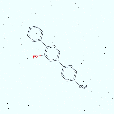 O=C(O)c1ccc(-c2ccc(-c3ccccc3)c(O)c2)cc1